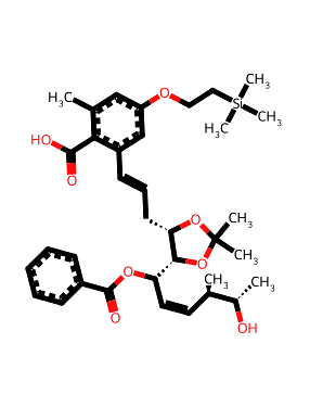 Cc1cc(OCC[Si](C)(C)C)cc(/C=C/C[C@@H]2OC(C)(C)O[C@@H]2C(/C=C\[C@@H](C)[C@H](C)O)OC(=O)c2ccccc2)c1C(=O)O